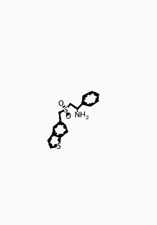 N[C@H](CS(=O)(=O)Cc1ccc2sccc2c1)c1ccccc1